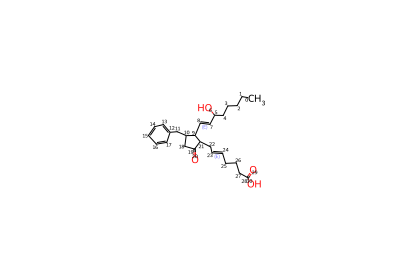 CCCCCC(O)/C=C/C1C(Cc2ccccc2)CC(=O)C1C/C=C/CCCC(=O)O